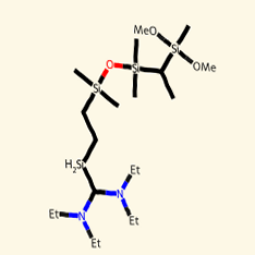 CCN(CC)C([SiH2]CC[Si](C)(C)O[Si](C)(C)C(C)[Si](C)(OC)OC)N(CC)CC